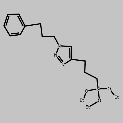 CCO[Si](CCCc1cn(CCCc2ccccc2)nn1)(OCC)OCC